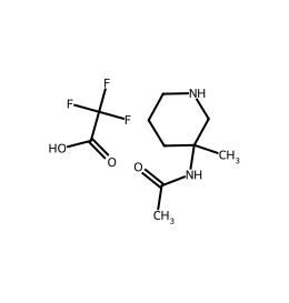 CC(=O)NC1(C)CCCNC1.O=C(O)C(F)(F)F